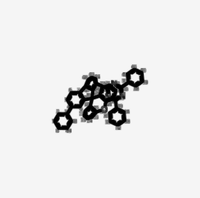 c1ccc(-c2ccc3c(c2)C2(c4ccccc4Oc4ccccc42)c2c(-c4nc(-c5ccccc5)nc(-c5ccccc5)n4)cccc2-3)cc1